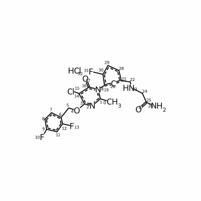 Cc1nc(OCc2ccc(F)cc2F)c(Cl)c(=O)n1-c1cc(CNCC(N)=O)ccc1F.Cl